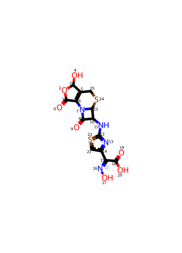 O=C1OC(O)C2=C1N1C(=O)C(Nc3nc(/C(=N/O)C(=O)O)cs3)C1SC2